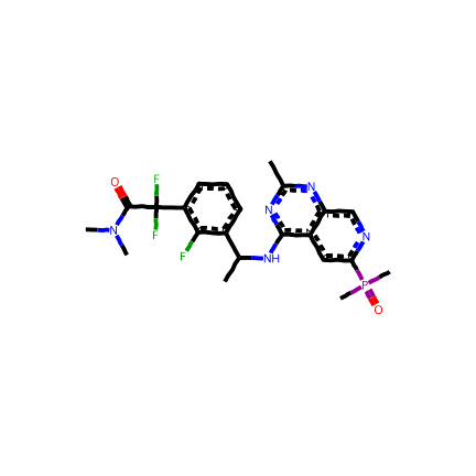 Cc1nc(NC(C)c2cccc(C(F)(F)C(=O)N(C)C)c2F)c2cc(P(C)(C)=O)ncc2n1